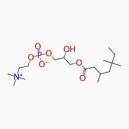 CCC(C)(C)CC(C)CC(=O)OCC(O)COP(=O)([O-])OCC[N+](C)(C)C